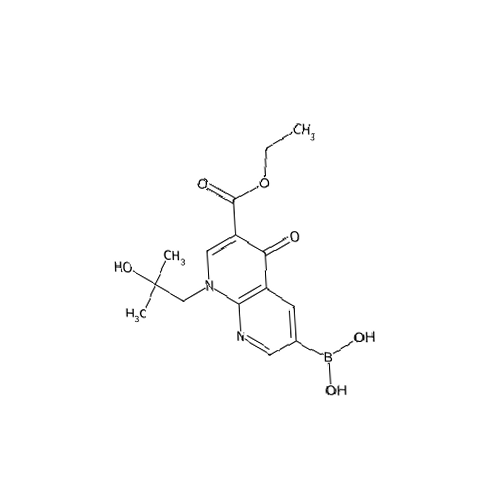 CCOC(=O)c1cn(CC(C)(C)O)c2ncc(B(O)O)cc2c1=O